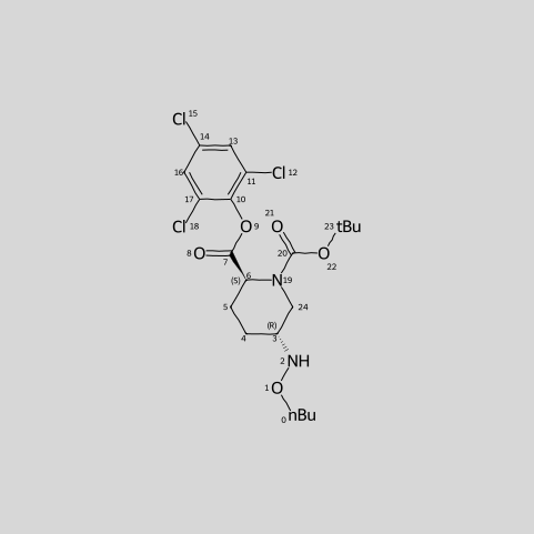 CCCCON[C@@H]1CC[C@@H](C(=O)Oc2c(Cl)cc(Cl)cc2Cl)N(C(=O)OC(C)(C)C)C1